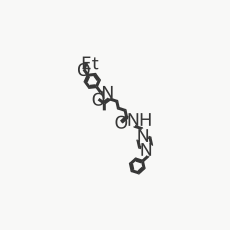 CCOc1ccc(-c2nc(CCCC(=O)NCCN3CCN(Cc4ccccc4)CC3)c(C)o2)cc1